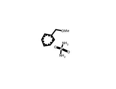 COCc1ccccc1.NS(N)(=O)=O